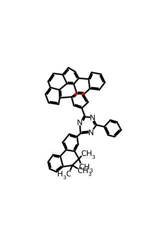 CC1(C)c2ccccc2-c2ccc(-c3nc(-c4ccccc4)nc(-c4cccc(-c5cccc6ccc7ccc8c9ccccc9ccc8c7c56)c4)n3)cc2C1(C)C